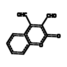 O=Cc1c(C=O)c2ccccc2oc1=O